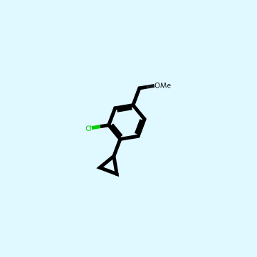 COCc1ccc(C2CC2)c(Cl)c1